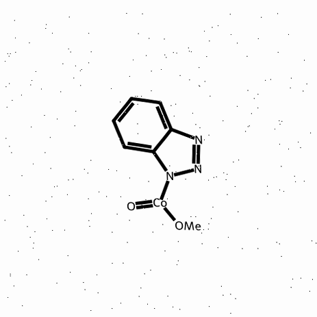 C[O][Co](=[O])[n]1nnc2ccccc21